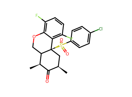 C[C@@H]1C[C@@]2(S(=O)(=O)c3ccc(Cl)cc3)c3c(F)ccc(F)c3OCC2[C@H](C)C1=O